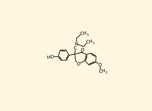 CCN(CC)CC1(c2ccc(O)cc2)COc2cc(OC)ccc2C1=O